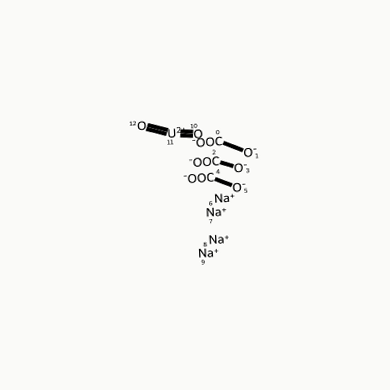 O=C([O-])[O-].O=C([O-])[O-].O=C([O-])[O-].[Na+].[Na+].[Na+].[Na+].[O]=[U+2]=[O]